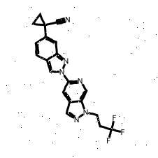 N#CC1(c2ccc3cn(-c4cc5cnn(CCC(F)(F)F)c5cn4)nc3c2)CC1